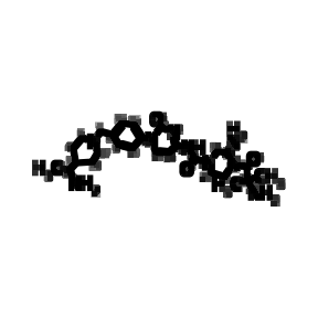 C[C@H](N)C1CCN(Cc2ccc(-n3ccc(NC(=O)N4CCN(C(=O)C(C)(C)N)[C@H](N)C4)nc3=O)cc2)CC1